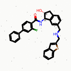 O=C(N[C@@H]1c2cc(CNCc3cc4ccccc4s3)ccc2C[C@H]1O)c1ccc(-c2ccccc2)cc1F